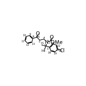 COC(=O)N(CCC(=O)c1ccccc1)[C@@](C)(I)c1ccc(Cl)cc1